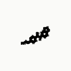 CC(C)C=Cc1ccc(C(=O)Nc2ccc3c(c2)OCO3)cc1